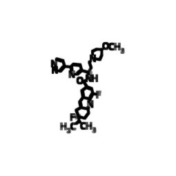 COC1CCN(CC[C@@H](NC(=O)c2cc(F)c3nc4c(cc3c2)C[C@](F)(C(C)C)CC4)c2ccc(-c3ccnnc3)nc2)CC1